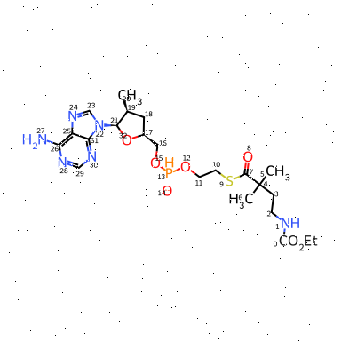 CCOC(=O)NCCC(C)(C)C(=O)SCCO[PH](=O)OC[C@@H]1C[C@H](C)[C@H](n2cnc3c(N)ncnc32)O1